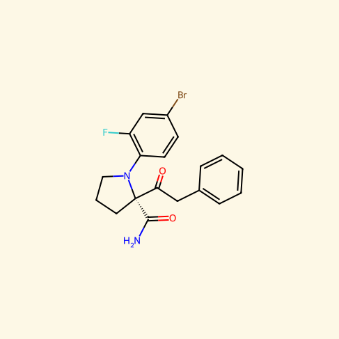 NC(=O)[C@]1(C(=O)Cc2ccccc2)CCCN1c1ccc(Br)cc1F